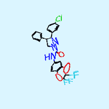 O=C(Nc1ccc2c(c1)OC(F)C(F)(F)O2)N1CC(c2ccccc2)C(c2ccc(Cl)cc2)=N1